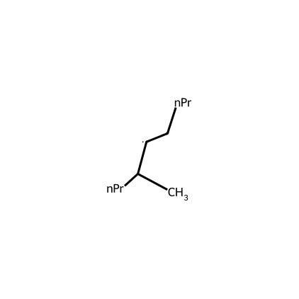 CCCC[CH]C(C)CCC